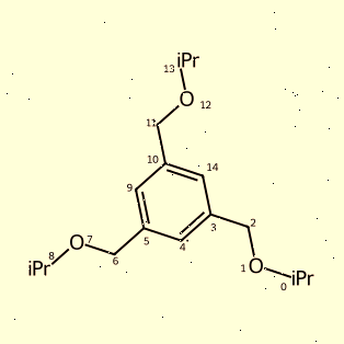 CC(C)OCc1[c]c(COC(C)C)cc(COC(C)C)c1